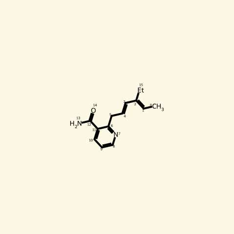 CC=C(C=CCc1ncccc1C(N)=O)CC